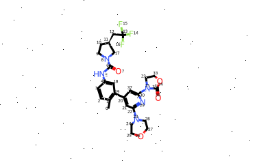 Cc1ccc(NC(=O)N2CC[C@@H](CC(F)(F)F)C2)cc1-c1cc(N2CCOCC2)nc(N2CCOC2=O)c1